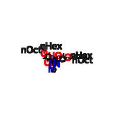 CCCCCCCCC(CCCCCC)COc1ccc(-c2nc(-c3ccc(OCC(CCCCCC)CCCCCCCC)c(C)c3O)nc(-c3cccn3C)n2)c(O)c1C